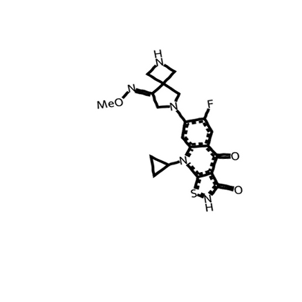 CO/N=C1\CN(c2cc3c(cc2F)c(=O)c2c(=O)[nH]sc2n3C2CC2)CC12CNC2